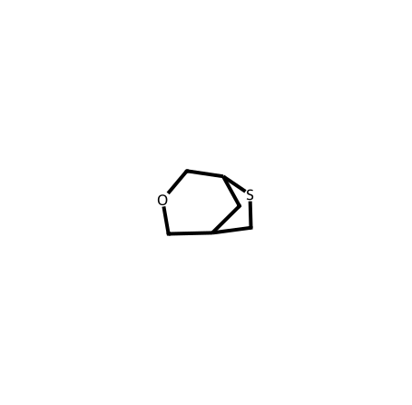 C1OCC2CC1CS2